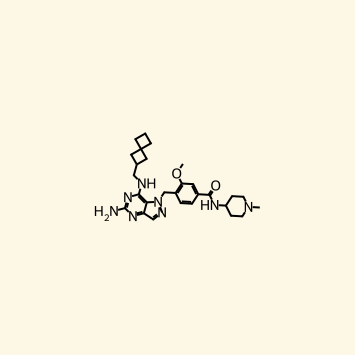 COc1cc(C(=O)NC2CCN(C)CC2)ccc1Cn1ncc2nc(N)nc(NCC3CC4(CCC4)C3)c21